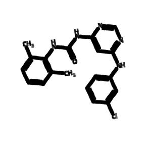 Cc1cccc(C)c1NC(=O)Nc1cc(Nc2cccc(Cl)c2)ncn1